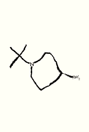 CC(C)(C)N1CCC[C@H](N)CC1